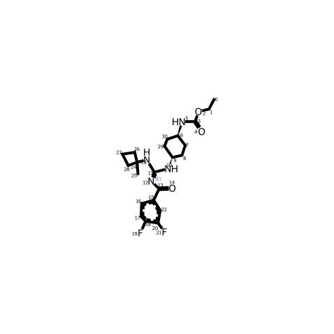 CCOC(=O)N[C@H]1CC[C@H](N/C(=N\C(=O)c2ccc(F)c(F)c2)NC2(C)CCC2)CC1